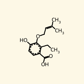 CCc1c(C(=O)O)ccc(O)c1OCC=C(C)C